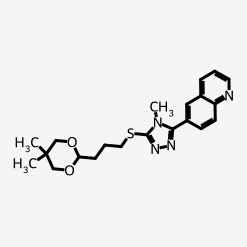 Cn1c(SCCCC2OCC(C)(C)CO2)nnc1-c1ccc2ncccc2c1